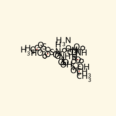 CCCCC1(CC)C(=O)SC2=C(C(=O)C(SCC(=O)N[C@@H](C(=O)NCCS(=O)(=O)O)c3ccc(OC(=O)CNC(=O)[C@H](NC(=O)CSC4C=CC5=C(C4=O)C(c4ccccc4)C(O)C(CC)(CCCC)C(=O)S5)c4ccccc4)cc3)C=C2)C(c2ccccc2)C1O.N